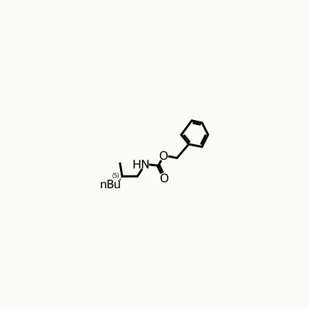 CCCC[C@H](C)CNC(=O)OCc1ccccc1